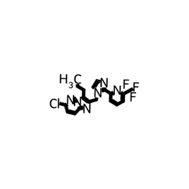 CCCc1c(Cn2ccnc2-c2cccc(C(F)(F)F)n2)nc2ccc(Cl)nn12